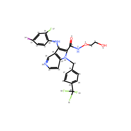 O=C(NOCCO)c1c(Nc2ccc(I)cc2F)c2cnccc2n1Cc1ccc(C(F)(F)F)cc1